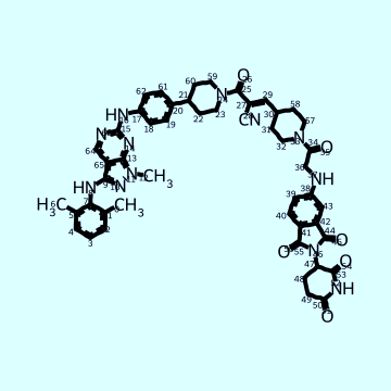 Cc1cccc(C)c1Nc1nn(C)c2nc(Nc3ccc(C4CCN(C(=O)/C(C#N)=C/C5CCN(C(=O)CNc6ccc7c(c6)C(=O)N(C6CCC(=O)NC6=O)C7=O)CC5)CC4)cc3)ncc12